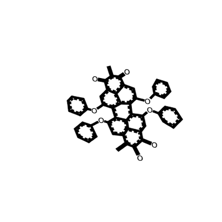 C=c1c(=O)c2cc(Oc3ccccc3)c3c4c(Oc5ccccc5)cc5c(=C)c(=O)c(=O)c6cc(Oc7ccccc7)c(c7c(Oc8ccccc8)cc(c1=O)c2c37)c4c56